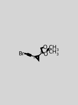 CC1(C)OC[C@H](C2C[C@H]2C#CBr)O1